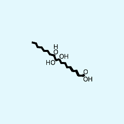 CCCCCCCC(O)C(O)C(O)CCCC=CC=CC(=O)O